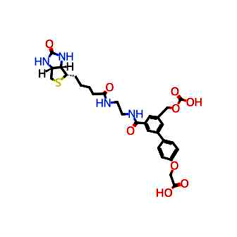 O=C(O)COc1ccc(-c2cc(COC(=O)O)cc(C(=O)NCCNC(=O)CCCC[C@@H]3SC[C@@H]4NC(=O)N[C@@H]43)c2)cc1